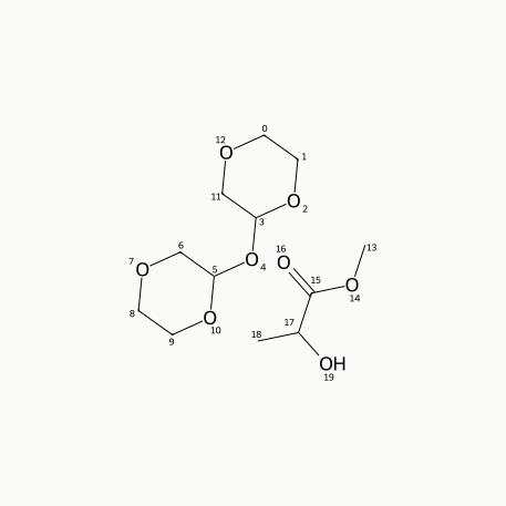 C1COC(OC2COCCO2)CO1.COC(=O)C(C)O